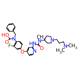 CN(C)CCCN1CCC(N(C)C(=O)Nc2cc(Oc3ccc(N(Cc4ccccc4)C(=O)O)c(F)c3)ccn2)CC1